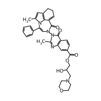 Cc1cc2c3n1C(c1ccccc1)=CN(n1c(C)nc4cc(C(=O)OCC(O)CN5CCOCC5)ccc4c1=O)C(=O)C3=CCC2